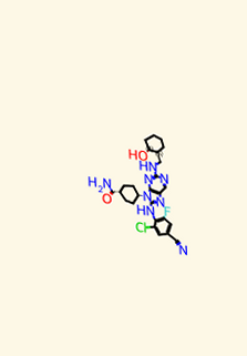 N#Cc1cc(F)c(Nc2nc3cnc(NC[C@@H]4CCCC[C@H]4O)nc3n2[C@H]2CC[C@@H](C(N)=O)CC2)c(Cl)c1